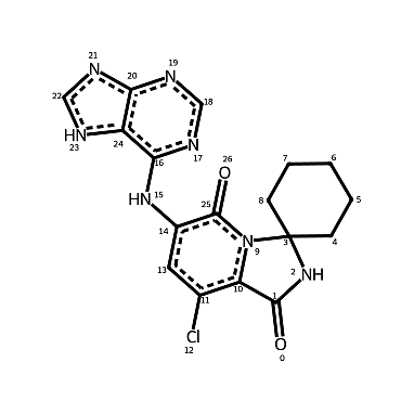 O=C1NC2(CCCCC2)n2c1c(Cl)cc(Nc1ncnc3nc[nH]c13)c2=O